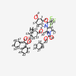 COc1ccc(CN(C(=O)C(F)(F)F)[C@H]2C[C@@H](C)N(C(=O)OCc3ccccc3)[C@H]2COC2CC[C@@]3(B4O[C@@H](c5ccccc5)[C@H](c5ccccc5)O4)C[C@H]3C2)cc1